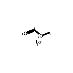 COC=O.[La]